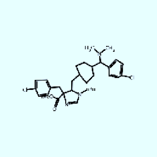 CCCCN1C=NC(Cc2ccc(Cl)cc2)(C(=O)OC)C1CC1CCC(C(c2ccc(Cl)cc2)N(C)C)CC1